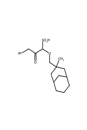 CC(C)CC(=O)C(OCC1(C)CC2CCCC(C2)C1)S(=O)(=O)O